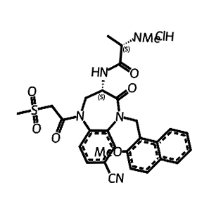 CN[C@@H](C)C(=O)N[C@H]1CN(C(=O)CS(C)(=O)=O)c2ccc(C#N)cc2N(Cc2c(OC)ccc3ccccc23)C1=O.Cl